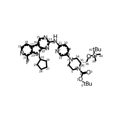 CC(C)(C)OC(=O)N1CCN(c2ccc(Nc3ncc4c5ccnc(F)c5n(C5CCCC5)c4n3)nc2)C[C@@H]1CO[Si](C)(C)C(C)(C)C